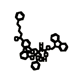 O=POC(Oc1ccccc1)(Oc1ccccc1)C(CO)(CCc1ccc(C(=O)CCCCc2ccccc2)cc1)NC(=O)OCC1c2ccccc2-c2ccccc21